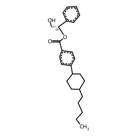 CCCCCC1CCC(c2ccc(C(=O)O[C@H](CO)c3ccccc3)cc2)CC1